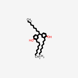 CCCCCCCCCc1cc(C(CCCCCCCCC)c2ccc(O)c(CCCCCCCCC)c2)ccc1O